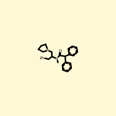 CC(C)CC(CN1CCCC1)N(C)C(=O)C(c1ccccc1)c1ccccc1